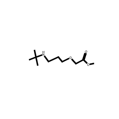 COC(=O)COCCCNC(C)(C)C